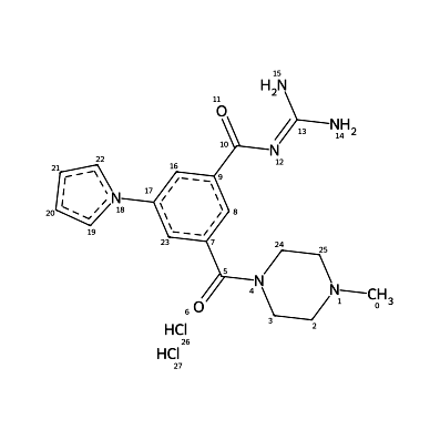 CN1CCN(C(=O)c2cc(C(=O)N=C(N)N)cc(-n3cccc3)c2)CC1.Cl.Cl